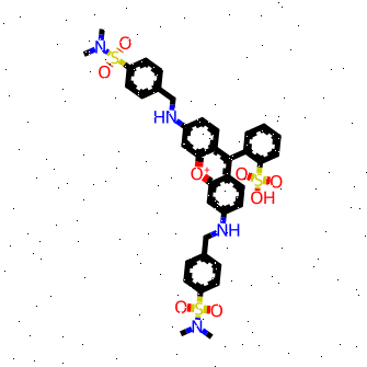 CN(C)S(=O)(=O)c1ccc(CNc2ccc3c(-c4ccccc4S(=O)(=O)O)c4ccc(NCc5ccc(S(=O)(=O)N(C)C)cc5)cc4[o+]c3c2)cc1